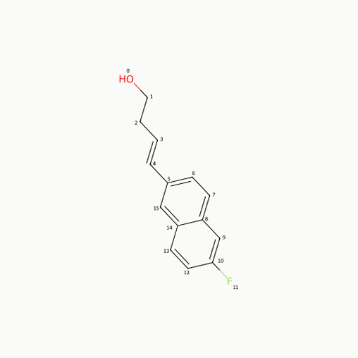 OCC/C=C/c1ccc2cc(F)ccc2c1